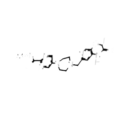 CC[C@H]1Oc2cnc(CN3CCN(c4cnc(C(=O)NC)nc4)CC3)cc2NC1=O